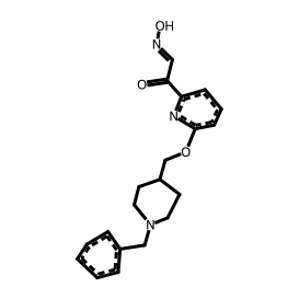 O=C(/C=N/O)c1cccc(OCC2CCN(Cc3ccccc3)CC2)n1